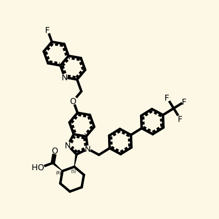 O=C(O)[C@@H]1CCCC[C@@H]1c1nc2cc(OCc3ccc4cc(F)ccc4n3)ccc2n1Cc1ccc(-c2ccc(C(F)(F)F)cc2)cc1